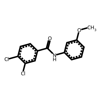 COc1cccc(NC(=O)c2ccc(Cl)c(Cl)c2)c1